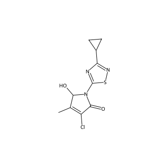 CC1=C(Cl)C(=O)N(c2nc(C3CC3)ns2)C1O